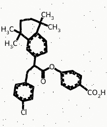 CC1(C)CCC(C)(C)c2cc(C(Cc3ccc(Cl)cc3)C(=O)Oc3ccc(C(=O)O)cc3)ccc21